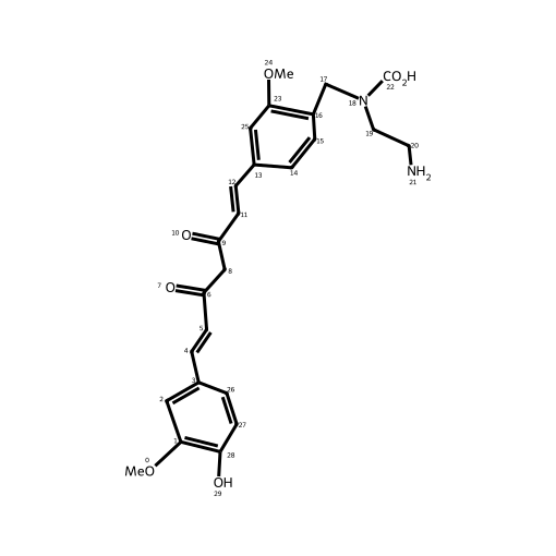 COc1cc(C=CC(=O)CC(=O)C=Cc2ccc(CN(CCN)C(=O)O)c(OC)c2)ccc1O